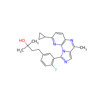 Cc1nc2ccc(C3CC3)nc2n2c(-c3cc(CCC(C)(C)O)ccc3F)ncc12